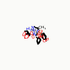 CC(C)(CCCN)CN(C[C@@H](O)[C@H](Cc1ccccc1)NC(=O)Oc1coc2occc12)S(=O)(=O)c1ccc2c(c1)OCO2